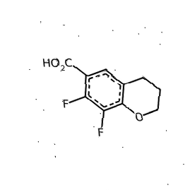 O=C(O)c1cc2c(c(F)c1F)OCCC2